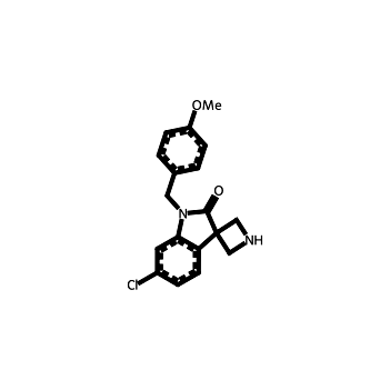 COc1ccc(CN2C(=O)C3(CNC3)c3ccc(Cl)cc32)cc1